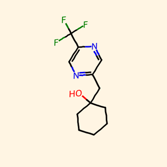 OC1(Cc2cnc(C(F)(F)F)cn2)CCCCC1